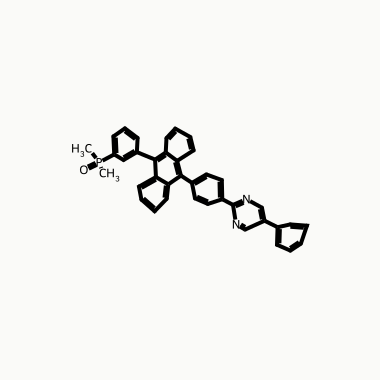 CP(C)(=O)c1cccc(-c2c3ccccc3c(-c3ccc(-c4ncc(-c5ccccc5)cn4)cc3)c3ccccc23)c1